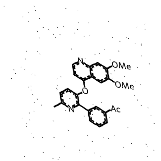 COc1cc2nccc(Oc3ccc(C)nc3-c3cccc(C(C)=O)c3)c2cc1OC